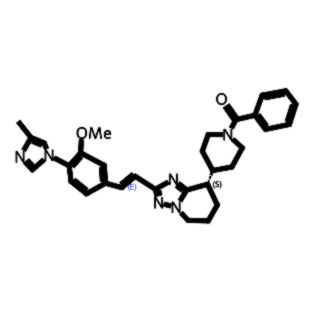 COc1cc(/C=C/c2nc3n(n2)CCC[C@H]3C2CCN(C(=O)c3ccccc3)CC2)ccc1-n1cnc(C)c1